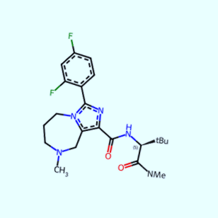 CNC(=O)[C@@H](NC(=O)c1nc(-c2ccc(F)cc2F)n2c1CN(C)CCC2)C(C)(C)C